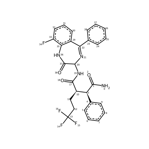 NC(=O)[C@@H](c1ccccc1)[C@@H](CCC(F)(F)F)C(=O)NC1N=C(c2ccccc2)c2cccc(F)c2NC1=O